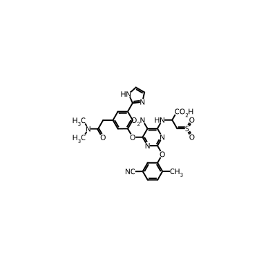 Cc1ccc(C#N)cc1Oc1nc(NC(C=S(=O)=O)C(=O)O)c([N+](=O)[O-])c(Oc2cc(CC(=O)N(C)C)cc(-c3ncc[nH]3)c2)n1